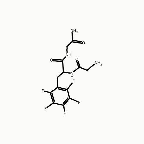 NCC(=O)NC(Cc1c(F)c(F)c(F)c(F)c1F)C(=O)NCC(N)=O